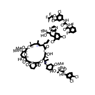 C=CC[C@@H]1/C=C(\C)C[C@H](C)C[C@H](OC)[C@H]2O[C@@](O)(C(=O)C(=O)N3CCCC[C@H]3C(=O)O[C@H](/C(C)=C/[C@@H]3CC[C@@H](O)[C@H](OC)C3)[C@H](C)[C@@H](O)CC1=O)[C@H](C)C[C@@H]2OC.CC(C)(C)C(O)C(Cc1ccc(Cl)cc1Cl)n1cncn1.CCCCN(C)C(=O)Nc1ccc(Cl)c(Cl)c1.O=C(NC(=O)c1c(F)cccc1F)Nc1cc(Cl)c(OC(F)(F)C(F)F)c(Cl)c1